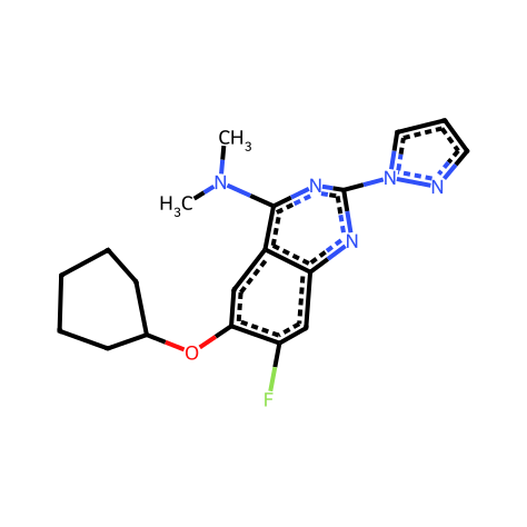 CN(C)c1nc(-n2cccn2)nc2cc(F)c(OC3CCCCC3)cc12